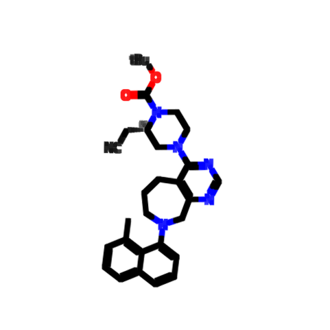 Cc1cccc2cccc(N3CCCc4c(ncnc4N4CCN(C(=O)OC(C)(C)C)[C@@H](CC#N)C4)C3)c12